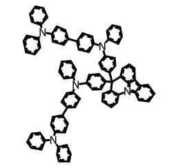 c1ccc(N(c2ccccc2)c2ccc(-c3ccc(N(c4ccccc4)c4ccc(C5(c6ccc(N(c7ccccc7)c7ccc(-c8ccc(N(c9ccccc9)c9ccccc9)cc8)cc7)cc6)c6ccccc6-n6c7ccccc7c7cccc5c76)cc4)cc3)cc2)cc1